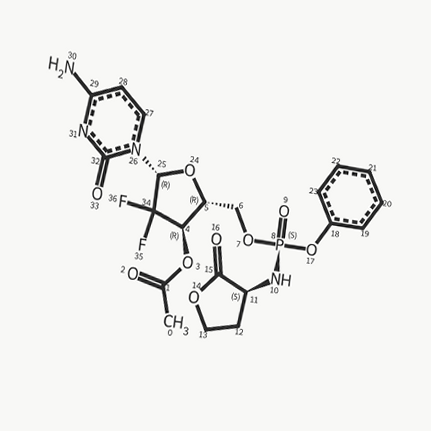 CC(=O)O[C@@H]1[C@@H](CO[P@@](=O)(N[C@H]2CCOC2=O)Oc2ccccc2)O[C@@H](n2ccc(N)nc2=O)C1(F)F